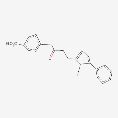 CCOC(=O)c1ccc(CC(=O)CCC2=CC=C(c3ccccc3)C2C)cc1